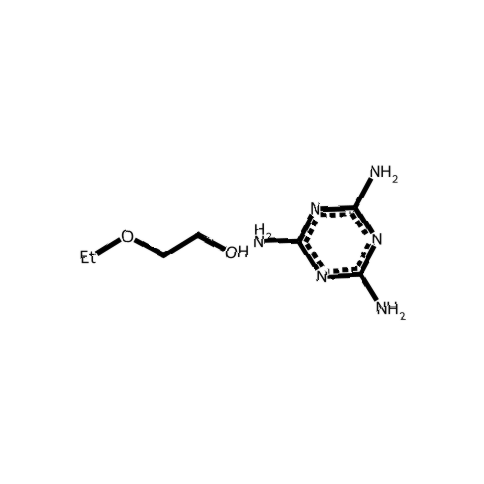 CCOCCO.Nc1nc(N)nc(N)n1